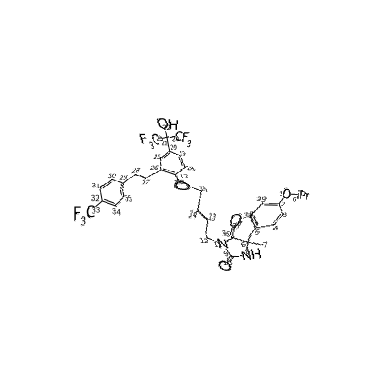 CC(C)Oc1ccc(C2(C)NC(=O)N(CCCCOc3ccc(C(O)(C(F)(F)F)C(F)(F)F)cc3CCc3ccc(C(F)(F)F)cc3)C2=O)cc1